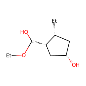 CCOC(O)[C@H]1C[C@@H](O)C[C@H]1CC